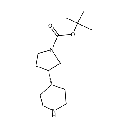 CC(C)(C)OC(=O)N1CC[C@@H](C2CCNCC2)C1